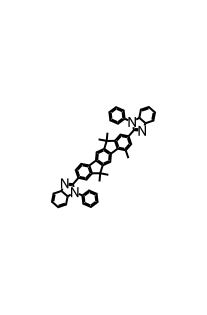 Cc1cc(C2=NC3C=CC=CC3N2c2ccccc2)cc2c1-c1cc3c(cc1C2(C)C)-c1ccc(C2=NC4C=CC=CC4N2c2ccccc2)cc1C3(C)C